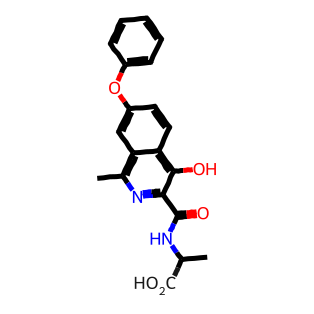 Cc1nc(C(=O)NC(C)C(=O)O)c(O)c2ccc(Oc3ccccc3)cc12